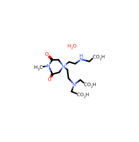 CN1C(=O)C[N+](CCNCC(=O)O)(CCN(CC(=O)O)CC(=O)O)CC1=O.O